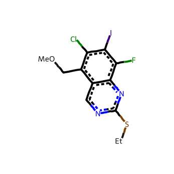 CCSc1ncc2c(COC)c(Cl)c(I)c(F)c2n1